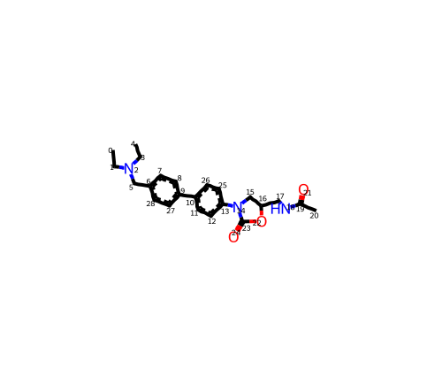 CCN(CC)Cc1ccc(-c2ccc(N3CC(CNC(C)=O)OC3=O)cc2)cc1